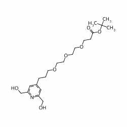 CC(C)(C)OC(=O)CCOCCOCCOCCCc1cc(CO)nc(CO)c1